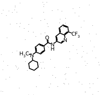 CN(c1ccc(C(=O)Nc2cnc3c(C(F)(F)F)cccc3c2)cc1)C1CCCCC1